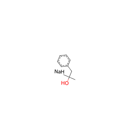 CC(C)(O)Cc1ccccc1.[NaH]